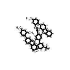 Cc1cc(-c2cc(-n3c4ccccc4c4ccc(-c5ccc(C)cc5C)cc43)c(C#N)cc2-n2c3ccccc3c3ccc(-c4ccc(C)cc4C)cc32)cc(C(F)(F)F)c1